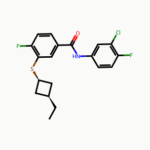 CC[C@H]1C[C@@H](Sc2cc(C(=O)Nc3ccc(F)c(Cl)c3)ccc2F)C1